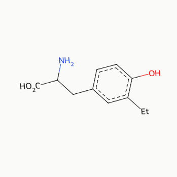 CCc1cc(CC(N)C(=O)O)ccc1O